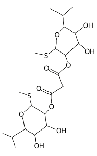 CSC1OC(C(C)C)C(O)C(O)C1OC(=O)CC(=O)OC1C(SC)OC(C(C)C)C(O)C1O